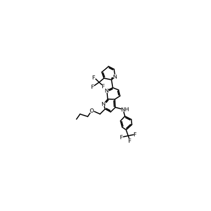 CCCOCc1cc(Nc2ccc(C(F)(F)F)cc2)c2ccc(-c3ncccc3C(F)(F)F)nc2n1